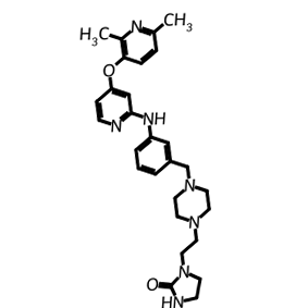 Cc1ccc(Oc2ccnc(Nc3cccc(CN4CCN(CCN5CCNC5=O)CC4)c3)c2)c(C)n1